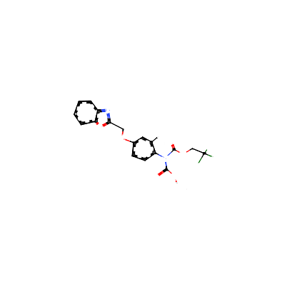 COC(=O)N(C(=O)OCC(Cl)(Cl)Cl)c1ccc(OCc2nc3ccccc3o2)cc1C